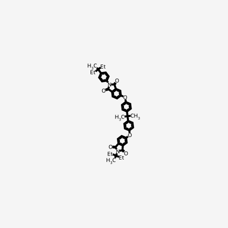 CCC(C)(CC)c1ccc(N2C(=O)c3ccc(Oc4ccc(C(C)(C)c5ccc(Oc6ccc7c(c6)C(=O)N(C(C)(CC)CC)C7=O)cc5)cc4)cc3C2=O)cc1